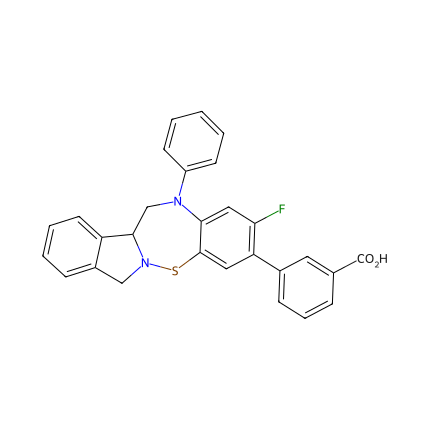 O=C(O)c1cccc(-c2cc3c(cc2F)N(c2ccccc2)CC2c4ccccc4CN2S3)c1